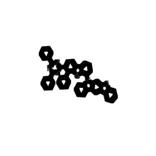 c1ccc(-c2nc(-c3ccccc3)nc(-c3ccc4c(oc5c(-n6c7ccccc7c7cc8c(cc76)sc6ccccc68)cccc54)c3-c3ccccc3)n2)cc1